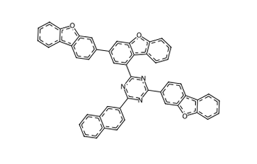 c1ccc2cc(-c3nc(-c4ccc5c(c4)oc4ccccc45)nc(-c4cc(-c5ccc6c(c5)oc5ccccc56)cc5oc6ccccc6c45)n3)ccc2c1